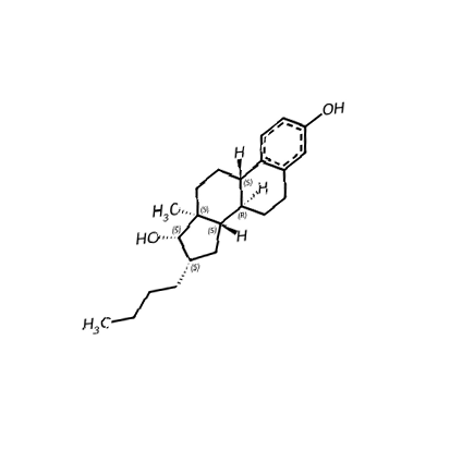 CCCC[C@H]1C[C@H]2[C@@H]3CCc4cc(O)ccc4[C@H]3CC[C@]2(C)[C@H]1O